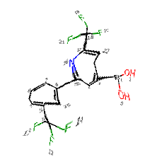 OB(O)c1cc(-c2cccc(C(F)(F)F)c2)nc(C(F)(F)F)c1